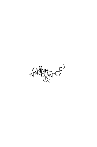 CC(C)COc1cccc(-c2ccc(C(=O)NS(=O)(=O)c3cccc(N(C)C)n3)c(N3C[C@@H](C)CC3(C)C)n2)c1